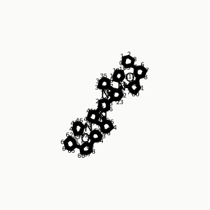 C1=CCCC(c2cccc3c2oc2c(N(c4ccccc4)c4ccc5c6cc7c(cc6n6c8ccccc8c4c56)c4ccc(N(c5ccccc5)c5cccc6c5oc5c(-c8ccccc8)cccc56)c5c6ccccc6n7c45)cccc23)=C1